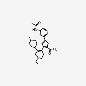 CCN1CCC(c2cc(-c3cccc(NC(C)=O)c3)sc2C(=O)OC)=C(C2CCC(C)CC2)C1